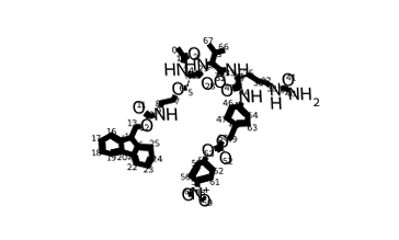 CC(=O)N[C@@H](COCCNC(=O)OCC1c2ccccc2-c2ccccc21)C(=O)N[C@H](C(=O)N[C@@H](CCCNC(N)=O)C(=O)Nc1ccc(COC(=O)Oc2ccc([N+](=O)[O-])cc2)cc1)C(C)C